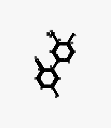 Cc1ccc(=O)n(-c2ccc(C)c(N)c2)c1